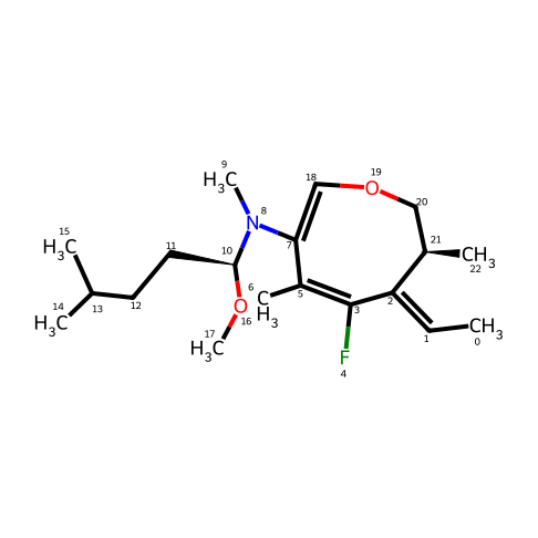 C/C=C1/C(F)=C(C)\C(N(C)[C@H](CCC(C)C)OC)=C/OC[C@H]1C